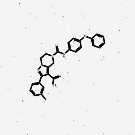 NC(=O)c1c(-c2cccc(F)c2)nn2c1CN(C(=O)Nc1ccc(Oc3ccccc3)cc1)CC2